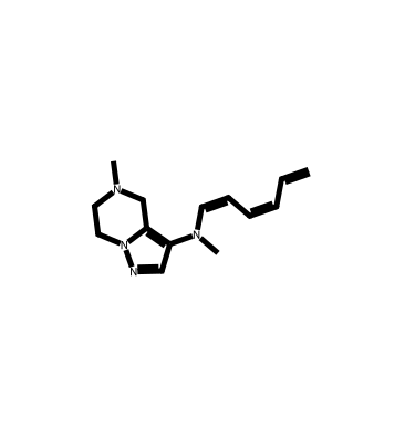 C=C/C=C\C=C/N(C)c1cnn2c1CN(C)CC2